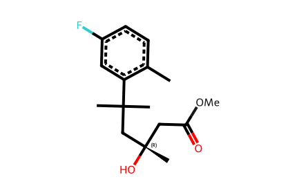 COC(=O)C[C@](C)(O)CC(C)(C)c1cc(F)ccc1C